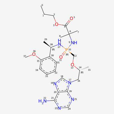 CCCOC(=O)C(C)(C)N[P@@](=O)(CO[C@H](C)Cn1cnc2c(N)ncnc21)N[C@H](C)c1ccccc1OC